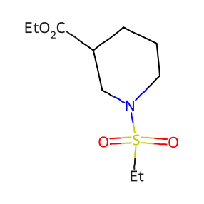 CCOC(=O)C1CCCN(S(=O)(=O)CC)C1